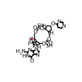 Nc1nc2c(ncn2[C@@H]2O[C@@H]3COP(=O)(S)O[C@H]4C[C@H](Oc5ccncn5)C[C@@H]4COP(=O)(S)O[C@@H]2[C@@H]3C(F)(F)F)c(=O)[nH]1